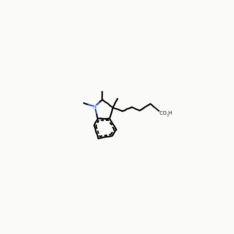 CC1N(C)c2ccccc2C1(C)CCCCC(=O)O